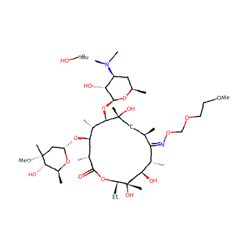 CCCCO.CC[C@H]1OC(=O)[C@H](C)[C@@H](O[C@H]2C[C@@](C)(OC)[C@@H](O)[C@H](C)O2)[C@H](C)[C@@H](O[C@@H]2O[C@H](C)C[C@H](N(C)C)[C@H]2O)[C@](C)(O)C[C@@H](C)/C(=N\OCOCCOC)[C@H](C)[C@@H](O)[C@]1(C)O